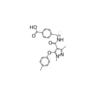 Cc1ccc(Oc2c(C(=O)N[C@@H](C)c3ccc(C(=O)O)cc3)c(C)nn2C)cc1